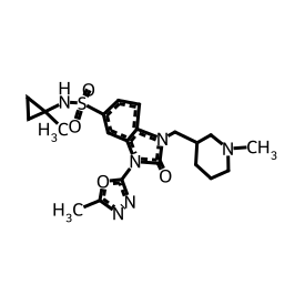 Cc1nnc(-n2c(=O)n(CC3CCCN(C)C3)c3ccc(S(=O)(=O)NC4(C)CC4)cc32)o1